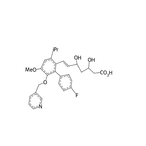 COc1cc(C(C)C)c(C=CC(O)CC(O)CC(=O)O)c(-c2ccc(F)cc2)c1OCc1cccnc1